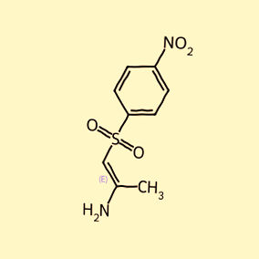 C/C(N)=C\S(=O)(=O)c1ccc([N+](=O)[O-])cc1